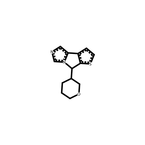 c1cc2c(s1)C(C1CCCOC1)n1cncc1-2